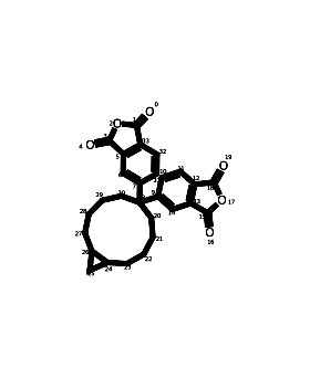 O=C1OC(=O)c2cc(C3(c4ccc5c(c4)C(=O)OC5=O)CCCCC4CC4CCCC3)ccc21